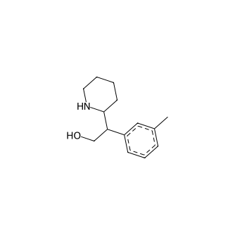 Cc1cccc(C(CO)C2CCCCN2)c1